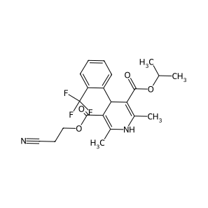 CC1=C(C(=O)OCCC#N)C(c2ccccc2C(F)(F)F)C(C(=O)OC(C)C)=C(C)N1